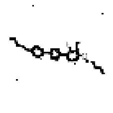 CCCCCOc1ccc(-c2ccc(-c3ccc(CCCCC)cc3)cc2)c(F)c1F